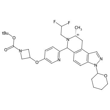 C[C@@H]1Cc2c(ccc3c2cnn3C2CCCCO2)C(c2ccc(OC3CN(C(=O)OC(C)(C)C)C3)cn2)N1CC(F)F